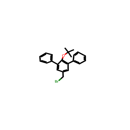 CC(C)(C)Oc1c(-c2ccccc2)cc(CBr)cc1-c1ccccc1